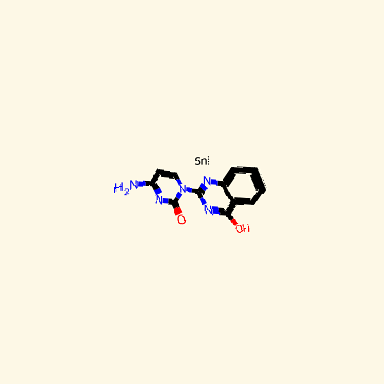 Nc1ccn(-c2nc(O)c3ccccc3n2)c(=O)n1.[Sn]